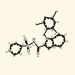 Cc1cc(C)c(Cn2c(C(=O)NS(=O)(=O)c3ccncc3)cc3ccccc32)c(C)c1